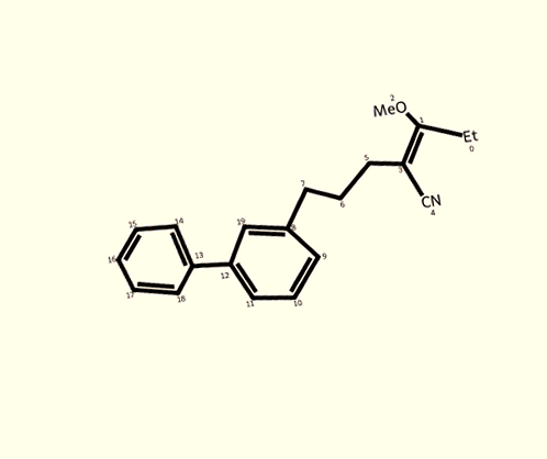 CC/C(OC)=C(\C#N)CCCc1cccc(-c2ccccc2)c1